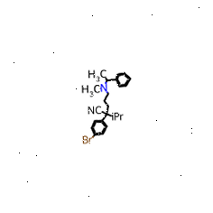 CC(c1ccccc1)N(C)CCCC(C#N)(c1ccc(Br)cc1)C(C)C